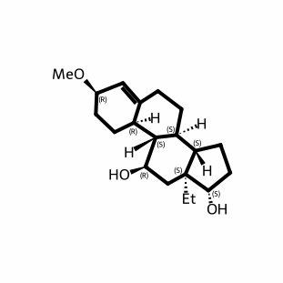 CC[C@]12C[C@@H](O)[C@H]3[C@@H](CCC4=C[C@H](OC)CC[C@@H]43)[C@@H]1CC[C@@H]2O